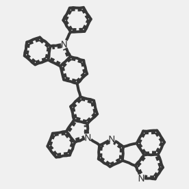 c1ccc(-n2c3ccccc3c3cc(-c4ccc5c(c4)c4ccccc4n5-c4ccc5c(n4)-c4cccc6ccnc-5c46)ccc32)cc1